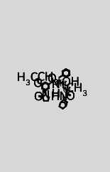 CC(C)Oc1cc(C(=O)N[C@@H](Cc2ccccc2)[C@@H](O)C[C@@H](C)C(=O)NC2CC3CCC2C3)cc(N2CCCC2=O)c1